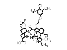 Cc1cc(OCCCc2c3n(c4c(-c5c(C)nn(C)c5C)c(Cl)ccc24)C(C)CN(c2cc(OC(F)(F)F)cc4cc(C(=O)O)[nH]c24)C3=O)cc(C)c1Cl